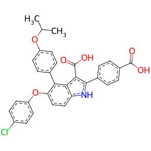 CC(C)Oc1ccc(-c2c(Oc3ccc(Cl)cc3)ccc3[nH]c(-c4ccc(C(=O)O)cc4)c(C(=O)O)c23)cc1